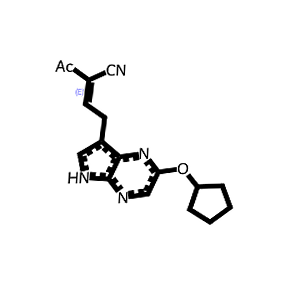 CC(=O)/C(C#N)=C/Cc1c[nH]c2ncc(OC3CCCC3)nc12